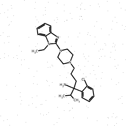 CCn1c(N2CCN(CCCC(N)(c3ccccc3Cl)C(C)C)CC2)nc2ccccc21